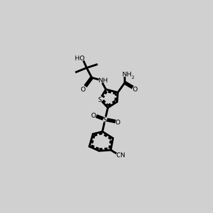 CC(C)(O)C(=O)Nc1sc(S(=O)(=O)c2cccc(C#N)c2)cc1C(N)=O